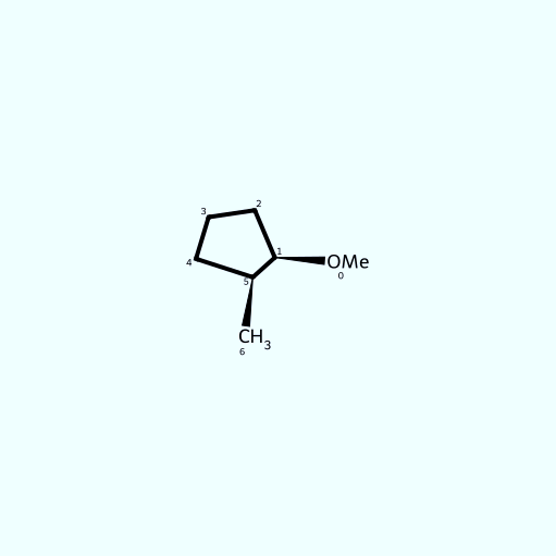 CO[C@@H]1CCC[C@@H]1C